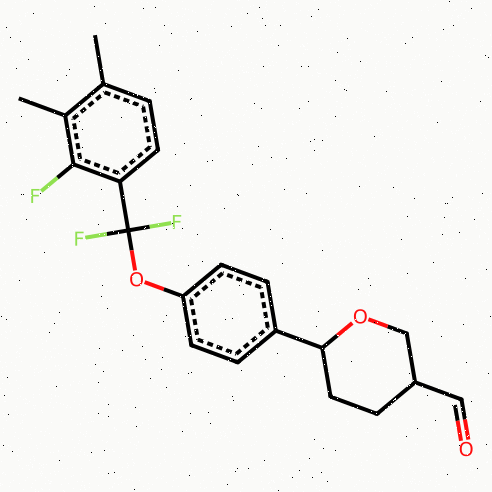 Cc1ccc(C(F)(F)Oc2ccc(C3CCC(C=O)CO3)cc2)c(F)c1C